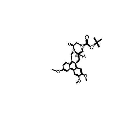 COc1ccc2c3c(c4cc(OC)c(OC)cc4c2c1)C[C@H]1CN(C(=O)OC(C)(C)C)CC(=O)N1C3